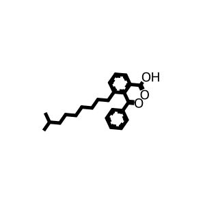 CC(C)CCCCCCCc1cccc(C(=O)O)c1C(=O)c1ccccc1